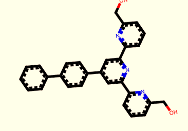 OCc1cccc(-c2cc(-c3ccc(-c4ccccc4)cc3)cc(-c3cccc(CO)n3)n2)n1